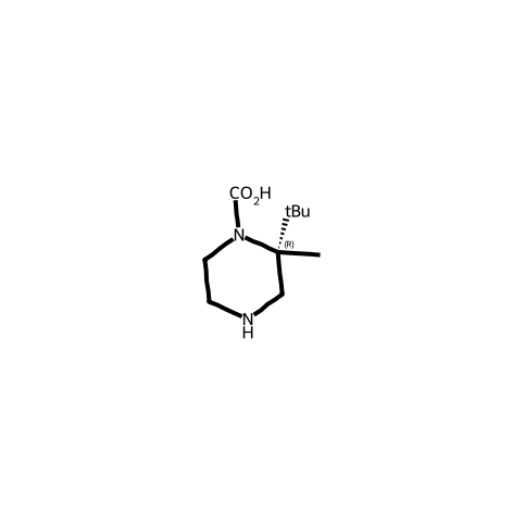 CC(C)(C)[C@]1(C)CNCCN1C(=O)O